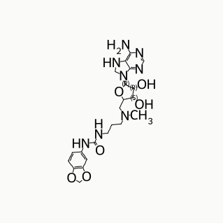 CN(CCCNC(=O)Nc1ccc2c(c1)OCO2)CC1O[C@@H](N2CNc3c(N)ncnc32)[C@H](O)[C@@H]1O